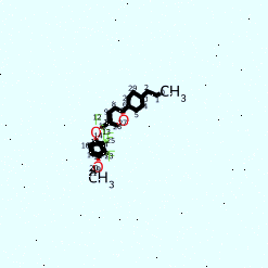 CCCC1CCC(C2CC=C(C(F)(F)Oc3ccc(OCC)c(F)c3F)CO2)CC1